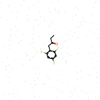 CCC(=O)Cc1c(F)cc(F)cc1F